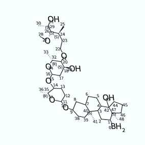 BC1CC2C(CCC3CC(OC4CCC(OC5C[C@H](O)C(OCC[C@H](C)[C@H](OC)[C@H](C)O)[C@@H](C)O5)[C@@H](C)O4)CC[C@@]32C)C2(O)CCC[C@@]12C